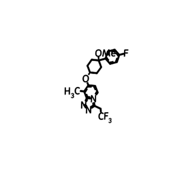 CO[C@]1(c2ccc(F)cc2)CC[C@H](Oc2ccn3c(CC(F)(F)F)nnc3c2C)CC1